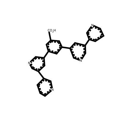 O=C(O)c1cc(-c2cncc(-c3cccnc3)c2)cc(-c2cncc(-c3cccnc3)c2)c1